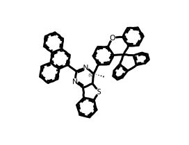 C[C@@]1(c2ccc3c(c2)C2(c4ccccc4O3)c3ccccc3-c3ccccc32)N=C(c2cc3ccccc3c3ccccc23)N=C2c3ccccc3SC21